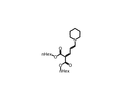 CCCCCCOC(=O)C(=C/C=C/N1CCCCC1)C(=O)OCCCCCC